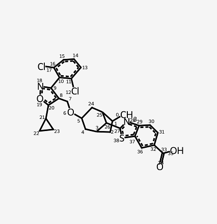 CC1CC2CC(OCc3c(-c4c(Cl)cccc4Cl)noc3C3CC3)CC1C2c1nc2ccc(C(=O)O)cc2s1